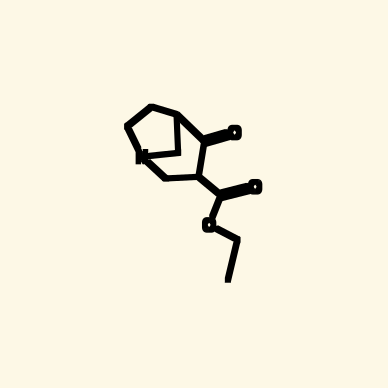 CCOC(=O)C1CN2CCC(C2)C1=O